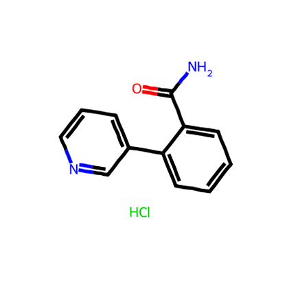 Cl.NC(=O)c1ccccc1-c1cccnc1